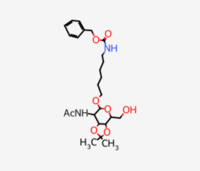 CC(=O)NC1C(OCCCCCCNC(=O)OCc2ccccc2)OC(CO)C2OC(C)(C)OC12